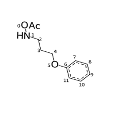 CC(=O)ONCCCOc1ccccc1